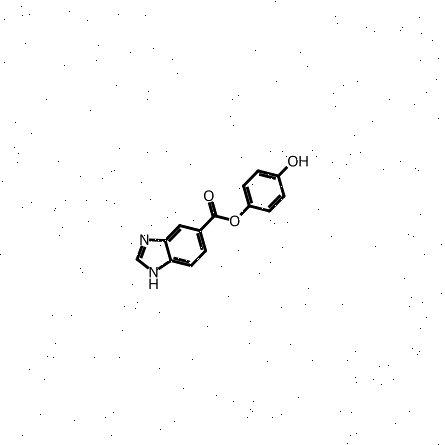 O=C(Oc1ccc(O)cc1)c1ccc2[nH]cnc2c1